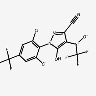 N#Cc1nn(-c2c(Cl)cc(C(F)(F)F)cc2Cl)c(O)c1[S+]([O-])C(F)(F)F